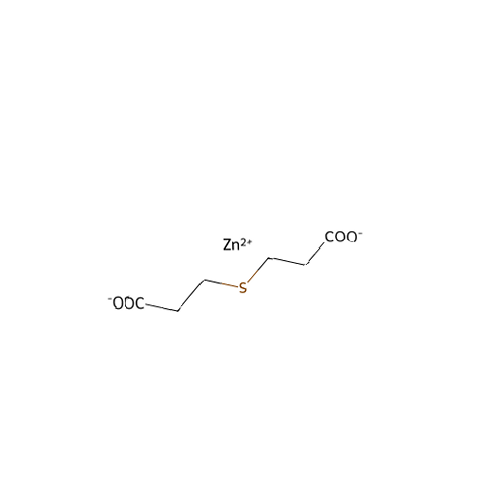 O=C([O-])CCSCCC(=O)[O-].[Zn+2]